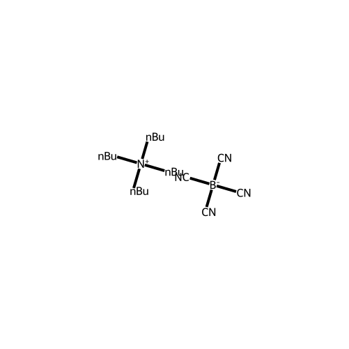 CCCC[N+](CCCC)(CCCC)CCCC.N#C[B-](C#N)(C#N)C#N